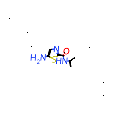 CC(C)NC(=O)c1ncc(N)s1